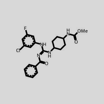 COC(=O)NC1CCC(N/C(=N\C(=O)c2ccccc2)Nc2cc(F)cc(Cl)c2)CC1